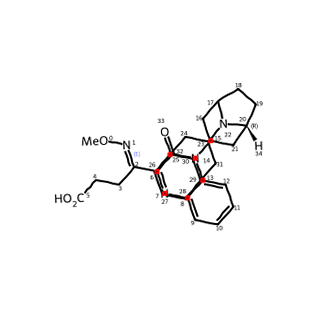 CO/N=C(\CCC(=O)O)c1nc2ccccc2n(C2CC3CC[C@H](C2)N3C2CC3CCCC(C3)C2)c1=O